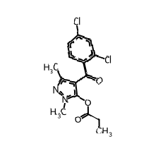 CCC(=O)Oc1c(C(=O)c2ccc(Cl)cc2Cl)c(C)nn1C